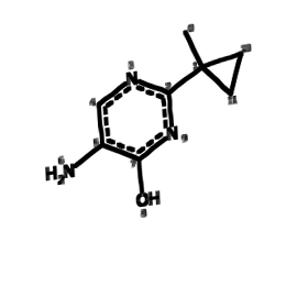 CC1(c2ncc(N)c(O)n2)CC1